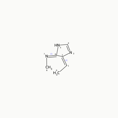 C/C=C1/N=CN/C1=N/C